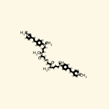 CN(CCCN(C)c1ccc(/C=C/c2cc[n+](C)cc2)cc1)C(=O)CSSCC(=O)N(C)CCCN(C)c1ccc(/C=C/c2ccn(C)c2)cc1